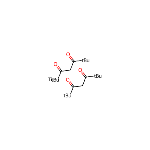 CC(C)(C)C(=O)CC(=O)C(C)(C)C.CC(C)(C)C(=O)CC(=O)C(C)(C)C.[Ti]